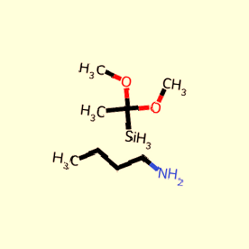 CCCCN.COC(C)([SiH3])OC